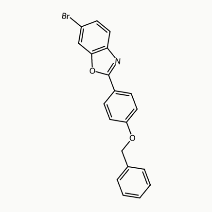 Brc1ccc2nc(-c3ccc(OCc4ccccc4)cc3)oc2c1